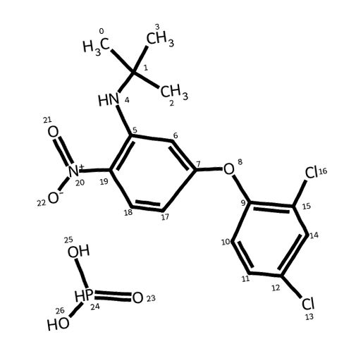 CC(C)(C)Nc1cc(Oc2ccc(Cl)cc2Cl)ccc1[N+](=O)[O-].O=[PH](O)O